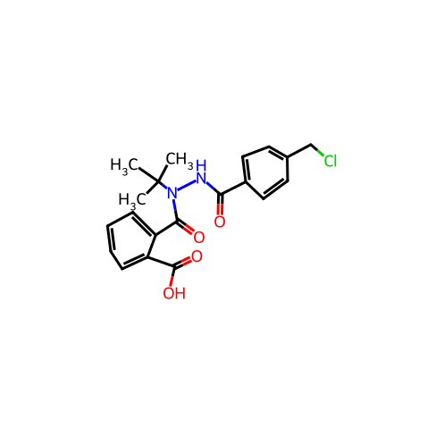 CC(C)(C)N(NC(=O)c1ccc(CCl)cc1)C(=O)c1ccccc1C(=O)O